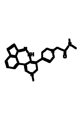 CN1C=C2C(=C(C3=CCN(CC(=O)N(C)C)CC3)C1)NN=C1C=Cc3cccc2c31